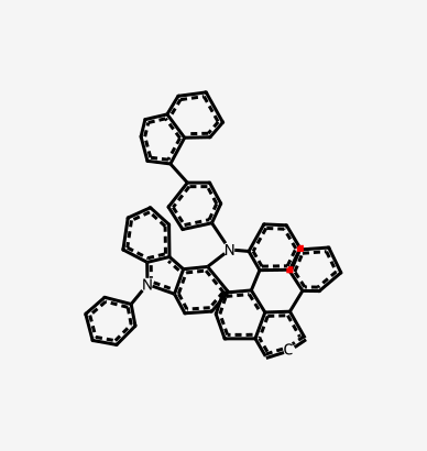 c1ccc(-c2cccc3cccc(-c4ccccc4N(c4ccc(-c5cccc6ccccc56)cc4)c4cccc5c4c4ccccc4n5-c4ccccc4)c23)cc1